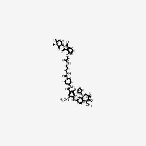 COc1cc(C(=O)NC2CCN(C(=O)NCCCNC(=O)COc3cccc4c3C(=O)N(C3CCC(=O)NC3=O)C4=O)CC2)c(F)cc1Nc1ncc2c(n1)N(C1CCCC1)CC(F)(F)C(=O)N2C